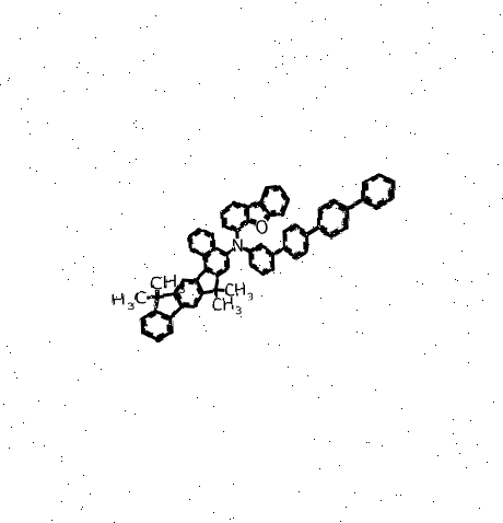 CC1(C)c2ccccc2-c2cc3c(cc21)-c1c(cc(N(c2cccc(-c4ccc(-c5ccc(-c6ccccc6)cc5)cc4)c2)c2cccc4c2oc2ccccc24)c2ccccc12)C3(C)C